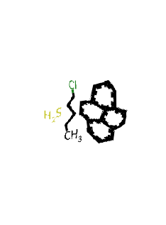 CCCCCCl.S.c1cc2ccc3cccc4ccc(c1)c2c34